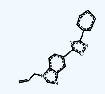 C=CCn1cnc2cc(-c3nc(-c4ccccc4)no3)ccc21